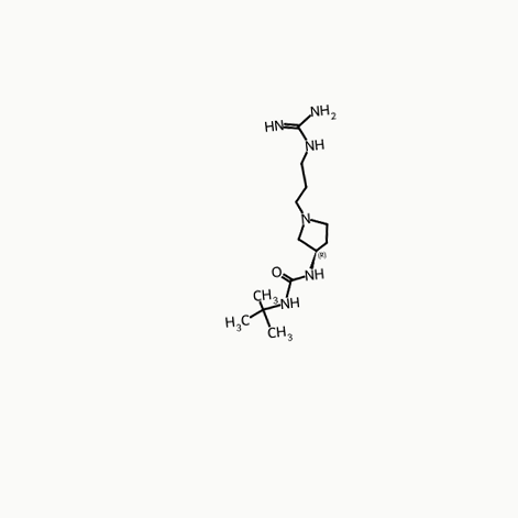 CC(C)(C)NC(=O)N[C@@H]1CCN(CCCNC(=N)N)C1